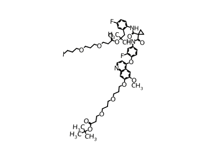 COc1cc2c(Oc3ccc(NC(=O)C4(C(=O)Nc5ccc(F)cc5CC(C)(C)OC(=O)CCOCCCOCCCI)CC4)cc3F)ccnc2cc1OCCCOCCCOCCC(=O)OC(C)(C)C